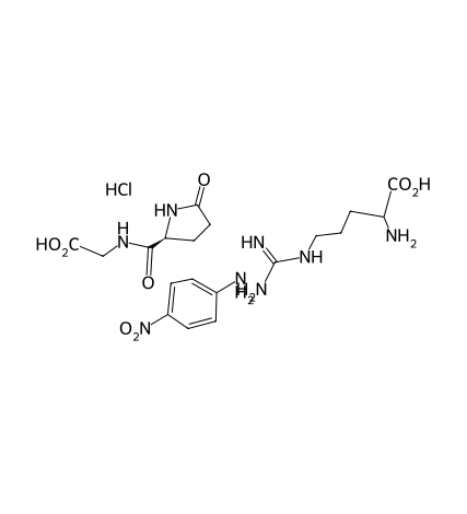 Cl.N=C(N)NCCCC(N)C(=O)O.Nc1ccc([N+](=O)[O-])cc1.O=C(O)CNC(=O)[C@@H]1CCC(=O)N1